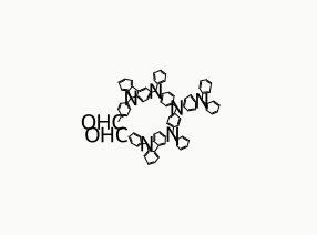 O=Cc1ccc(-n2c3ccccc3c3cc(N(c4ccccc4)c4ccc(N(c5ccc(N(c6ccccc6)c6ccccc6)cc5)c5ccc(N(c6ccccc6)c6ccc7c(c6)c6ccccc6n7-c6ccc(C=O)cc6)cc5)cc4)ccc32)cc1